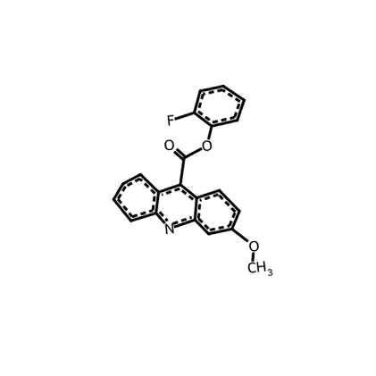 COc1ccc2c(C(=O)Oc3ccccc3F)c3ccccc3nc2c1